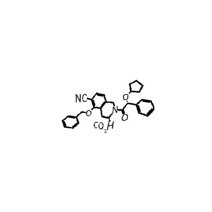 N#Cc1ccc2c(c1OCc1ccccc1)C[C@H](C(=O)O)N(C(=O)[C@H](OC1CCCC1)c1ccccc1)C2